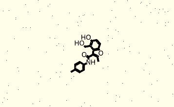 Cc1ccc(NC(=O)c2c(C)oc3ccc(O)c(CO)c23)cc1